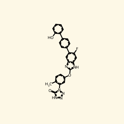 Cc1ccc(Oc2nc3cc(-c4ccc(-c5ccccc5O)cc4)c(F)cc3[nH]2)cc1-n1nn[nH]c1=O